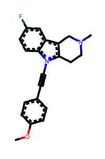 COc1ccc(C#Cn2c3c(c4cc(F)ccc42)CN(C)CC3)cc1